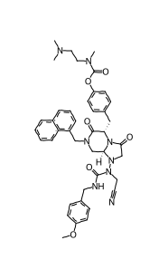 COc1ccc(CNC(=O)N(CC#N)N2CC(=O)N3[C@@H](Cc4ccc(OC(=O)N(C)CCN(C)C)cc4)C(=O)N(Cc4cccc5ccccc45)C[C@@H]32)cc1